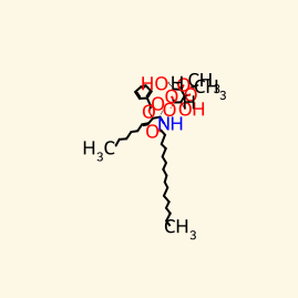 CCCCCC/C=C/[C@@H](OC(=O)c1ccccc1)[C@H](CO[C@@H]1O[C@H](CO)[C@@H]2OC(C)(C)O[C@@H]2[C@H]1O)NC(=O)CCCCCCCCCCCCCCC